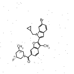 Cc1c(-c2cc3ccc(Br)cc3n2CC2CC2)oc2cc(C(=O)N3C[C@H](C)C[C@@H](F)C3)ccc12